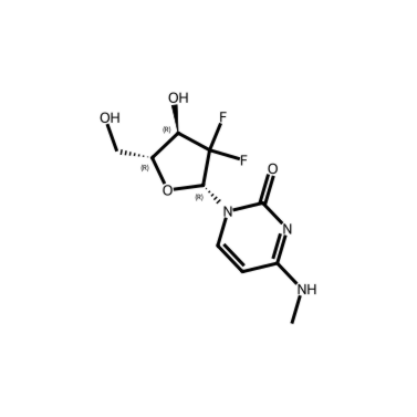 CNc1ccn([C@@H]2O[C@H](CO)[C@@H](O)C2(F)F)c(=O)n1